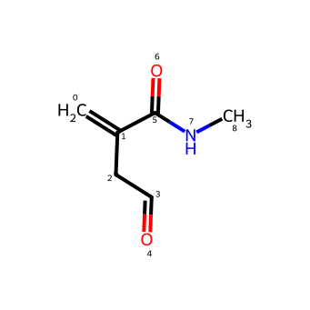 C=C(CC=O)C(=O)NC